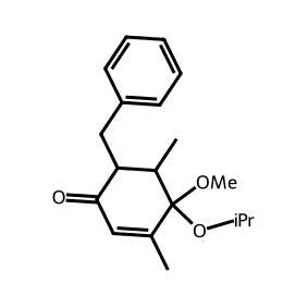 COC1(OC(C)C)C(C)=CC(=O)C(Cc2ccccc2)C1C